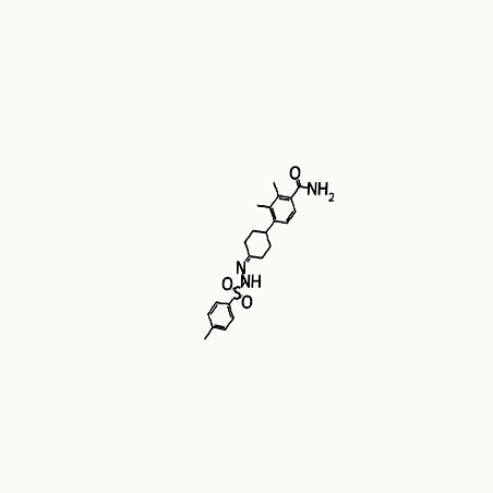 Cc1ccc(S(=O)(=O)NN=C2CCC(c3ccc(C(N)=O)c(C)c3C)CC2)cc1